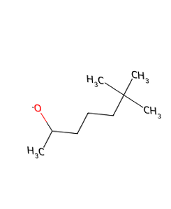 CC([O])CCCC(C)(C)C